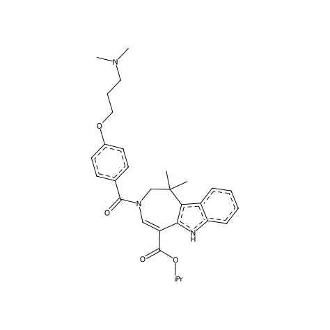 CC(C)OC(=O)C1=CN(C(=O)c2ccc(OCCCN(C)C)cc2)CC(C)(C)c2c1[nH]c1ccccc21